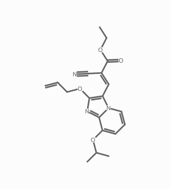 C=CCOc1nc2c(OC(C)C)cccn2c1C=C(C#N)C(=O)OCC